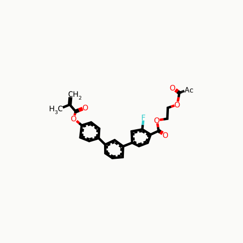 C=C(C)C(=O)Oc1ccc(-c2cccc(-c3ccc(C(=O)OCCOC(=O)C(C)=O)c(F)c3)c2)cc1